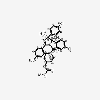 CCOc1cc(C(C)(C)C)ncc1C1=N[C@@](C)(c2ccc(Cl)cc2)[C@@](C)(c2ccc(Cl)cc2)N1C(=O)N1CCC(OC(=O)OC)CC1